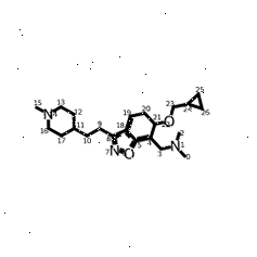 CN(C)CC1=c2onc(CCC3CCN(C)CC3)c2=CCC1OCC1CC1